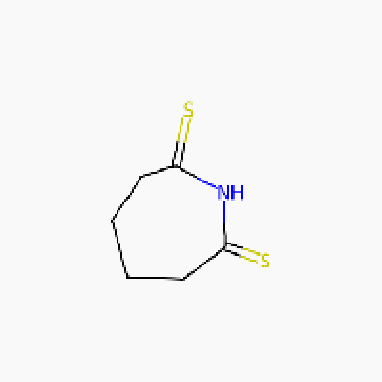 S=C1CCCCC(=S)N1